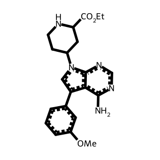 CCOC(=O)C1CC(n2cc(-c3cccc(OC)c3)c3c(N)ncnc32)CCN1